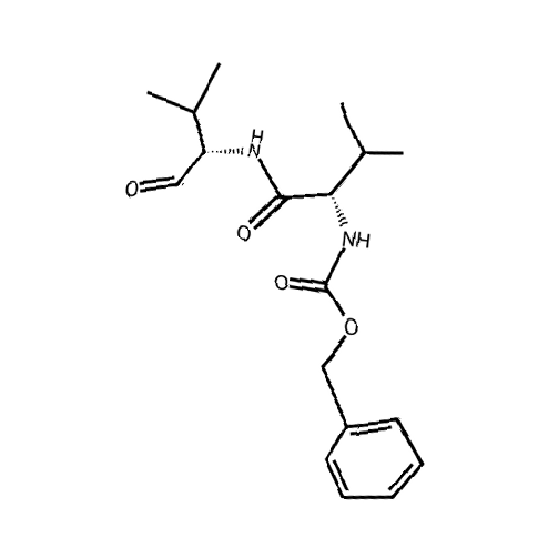 CC(C)[C@H](NC(=O)OCc1ccccc1)C(=O)N[C@H]([C]=O)C(C)C